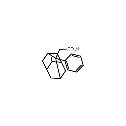 CC1C2CC3CC1CC(C2)C3(CC(=O)O)c1ccccc1